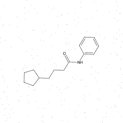 O=C(CCCC1CCCC1)Nc1ccccc1